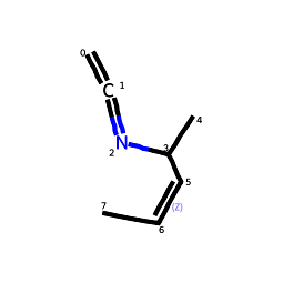 C=C=NC(C)/C=C\C